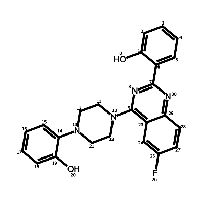 Oc1ccccc1-c1nc(N2CCN(c3ccccc3O)CC2)c2cc(F)ccc2n1